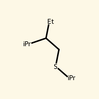 CCC(CSC(C)C)C(C)C